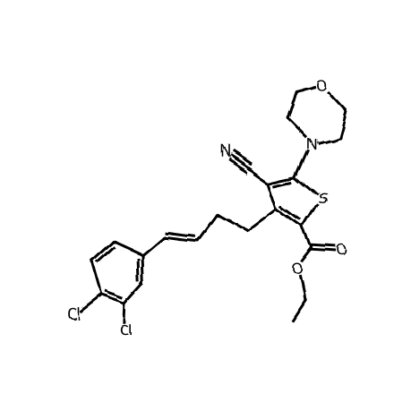 CCOC(=O)c1sc(N2CCOCC2)c(C#N)c1CCC=Cc1ccc(Cl)c(Cl)c1